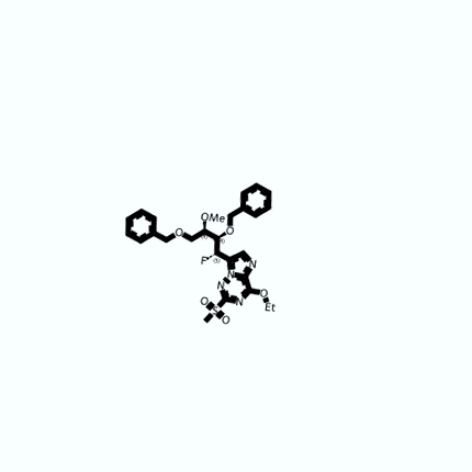 CCOc1nc(S(C)(=O)=O)nn2c([C@H](F)[C@H](OCc3ccccc3)[C@@H](COCc3ccccc3)OC)cnc12